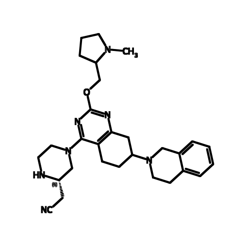 CN1CCCC1COc1nc2c(c(N3CCN[C@@H](CC#N)C3)n1)CCC(N1CCc3ccccc3C1)C2